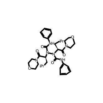 CC(C)C[C@@H](C(=O)N1CCOCC1)N(C(=O)Nc1ccccc1)N(C(=O)Nc1ccccc1)[C@@H](CC(C)C)C(=O)N1CCOCC1